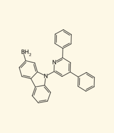 Bc1ccc2c3ccccc3n(-c3cc(-c4ccccc4)cc(-c4ccccc4)n3)c2c1